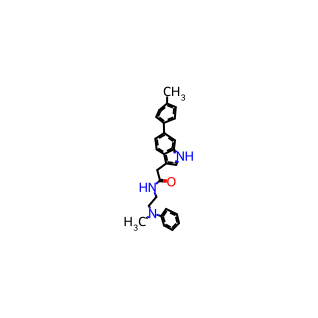 Cc1ccc(-c2ccc3c(CC(=O)NCCN(C)c4ccccc4)c[nH]c3c2)cc1